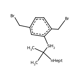 CCCCCCCC(C)(C)[SiH2]c1cc(CBr)ccc1CBr